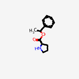 CC(OC(=O)C1CCCN1)c1ccccc1